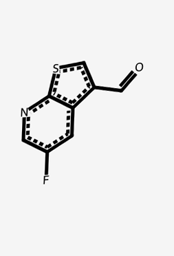 O=Cc1csc2ncc(F)cc12